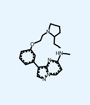 CCC1CCCN1CCOc1cccc(-c2cnn3ccc(NC)nc23)c1